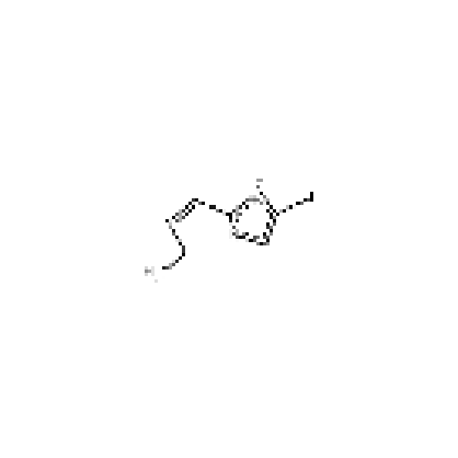 CC/N=C\c1ncc(I)[nH]1